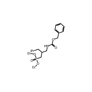 CCOP(=O)(CC(CNC(=O)OCc1ccccc1)CC(C)C)OCC